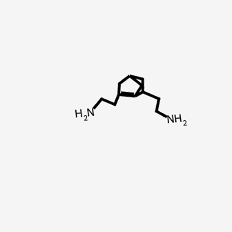 NCCC1=C2CC(C1)CC2CCN